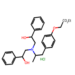 CCOC(=O)COc1ccc(CC(C)N(CC(O)c2ccccc2)CC(O)c2ccccc2)cc1.Cl